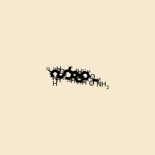 CC1=C2C[C@H]3[C@@H](CC[C@@H]4C[C@@H](OC(=O)CN)CCC43C)[C@@H]2CC[C@]2(C1)C[C@@H]1NC[C@@H](C)C[C@H]1O2